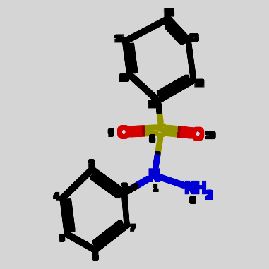 NN(c1ccccc1)S(=O)(=O)c1ccccc1